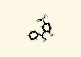 O=[N+]([O-])c1ccc(O)c(C(O)c2ccccc2)c1